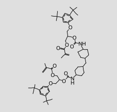 C=C(C)C(=O)OCC(COc1cc(C(C)(C)C)cc(C(C)(C)C)c1)OC(=O)NC1CCC(CC2CCC(NC(=O)OC(COC(=O)C(=C)C)COc3cc(C(C)(C)C)cc(C(C)(C)C)c3)CC2)CC1